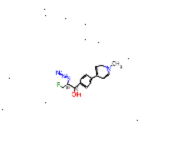 CN1C=CC(c2ccc([C@@H](O)[C@@H](CF)N=[N+]=[N-])cc2)=CC1